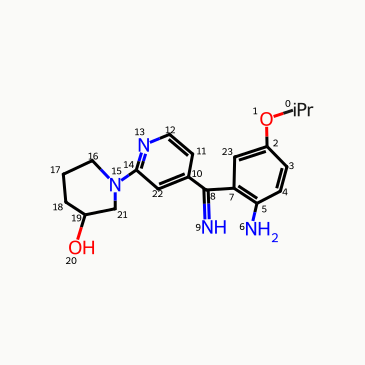 CC(C)Oc1ccc(N)c(C(=N)c2ccnc(N3CCCC(O)C3)c2)c1